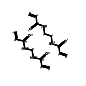 C=CC(=O)NCCNC(=O)C=C.C=CC(=O)NCNC(=O)C=C